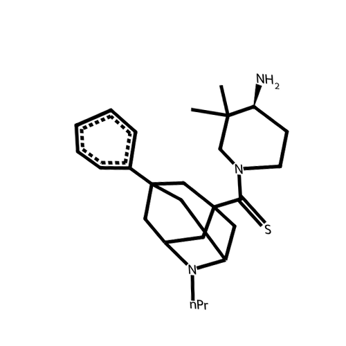 CCCN1C2CC3(C(=S)N4CC[C@H](N)C(C)(C)C4)CC1CC(c1ccccc1)(C2)C3